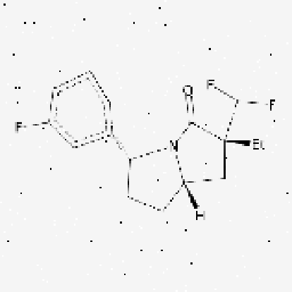 CC[C@@]1(C(F)F)C[C@@H]2CC[C@H](c3cccc(F)c3)N2C1=O